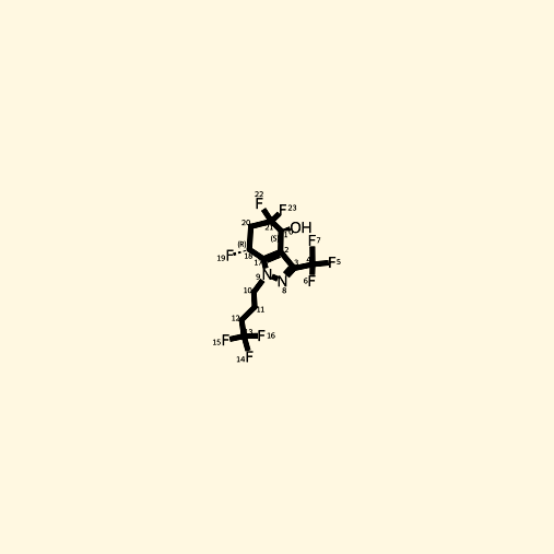 O[C@H]1c2c(C(F)(F)F)nn(CCCC(F)(F)F)c2[C@H](F)CC1(F)F